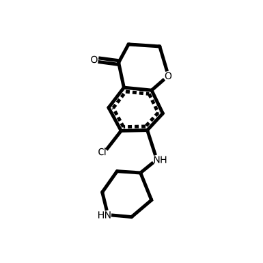 O=C1CCOc2cc(NC3CCNCC3)c(Cl)cc21